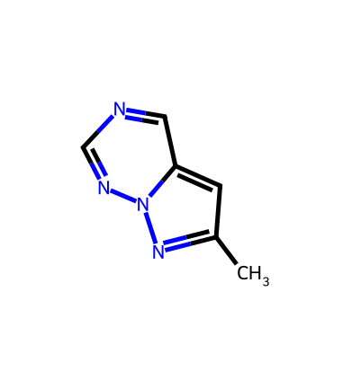 Cc1cc2cncnn2n1